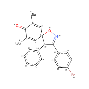 CC(C)(C)C1=CC2(C=C(C(C)(C)C)C1=O)ON=C(c1ccc(Br)cc1)C2c1ccccc1